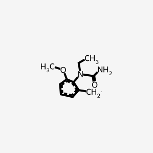 [CH2]c1cccc(OC)c1N(CC)C(N)=O